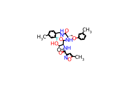 Cc1cccc(OC[C@H](NC(=O)[C@@H](NC(=O)c2cc(C)on2)[C@@H](C)O)C(=O)NCc2ccc(C)cc2F)c1